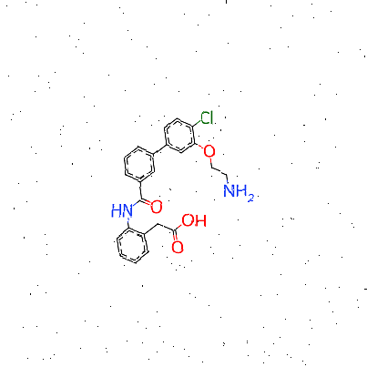 NCCOc1cc(-c2cccc(C(=O)Nc3ccccc3CC(=O)O)c2)ccc1Cl